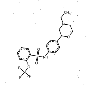 CCN1CCOC(c2ccc(NS(=O)(=O)c3ccccc3OC(F)(F)F)cc2)C1